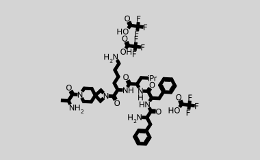 CC(C)CC(NC(=O)C(Cc1ccccc1)NC(=O)C(N)Cc1ccccc1)C(=O)NC(CCCCN)C(=O)N1CC2(CCN(C(=O)C(C)N)CC2)C1.O=C(O)C(F)(F)F.O=C(O)C(F)(F)F.O=C(O)C(F)(F)F